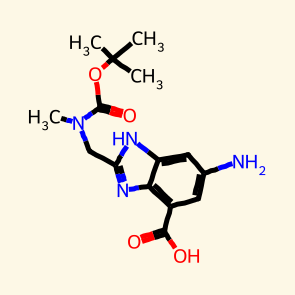 CN(Cc1nc2c(C(=O)O)cc(N)cc2[nH]1)C(=O)OC(C)(C)C